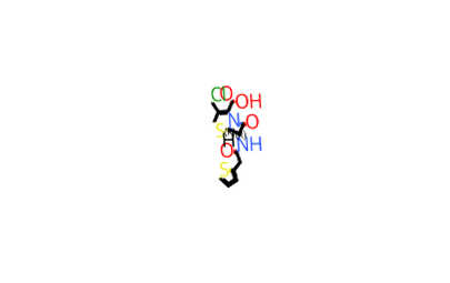 O=C(Cc1cccs1)N[C@@H]1C(=O)N2C(C(=O)O)=C(CCl)CS[C@H]12